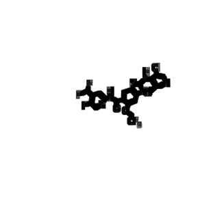 O=C(Nc1cc(C(F)F)c(F)cn1)c1cc2nc(Nc3c(Cl)cncc3Cl)[nH]c2cc1OCC(F)(F)F